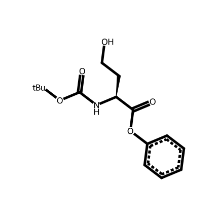 CC(C)(C)OC(=O)N[C@@H](CCO)C(=O)Oc1ccccc1